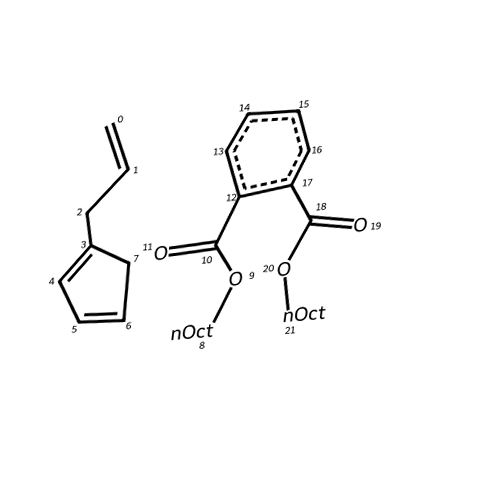 C=CCC1=CC=CC1.CCCCCCCCOC(=O)c1ccccc1C(=O)OCCCCCCCC